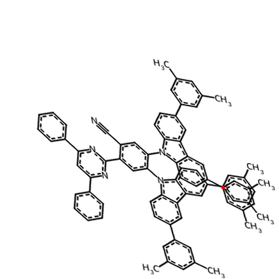 Cc1cc(C)cc(-c2ccc3c(c2)c2cc(-c4cc(C)cc(C)c4)ccc2n3-c2cc(C#N)c(-c3nc(-c4ccccc4)cc(-c4ccccc4)n3)cc2-n2c3ccc(-c4cc(C)cc(C)c4)cc3c3cc(-c4cc(C)cc(C)c4)ccc32)c1